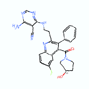 N#Cc1c(N)ncnc1NCCc1nc2ccc(F)cc2c(C(=O)N2CC[C@@H](O)C2)c1-c1ccccc1